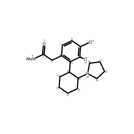 CNC(=O)Cc1ccc(Cl)c(Cl)c1C1CCCCC1N1CCCC1